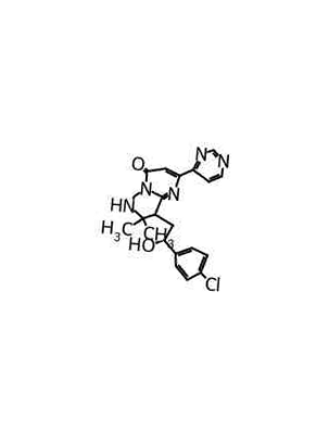 CC1(C)NCn2c(nc(-c3ccncn3)cc2=O)C1C[C@H](O)c1ccc(Cl)cc1